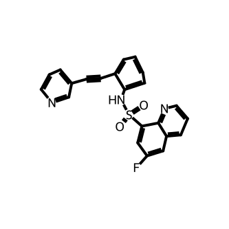 O=S(=O)(Nc1ccccc1C#Cc1cccnc1)c1cc(F)cc2cccnc12